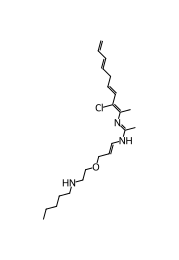 C=C/C=C/CC=C/C(Cl)=C(C)/N=C(\C)N/C=C/COCCNCCCCC